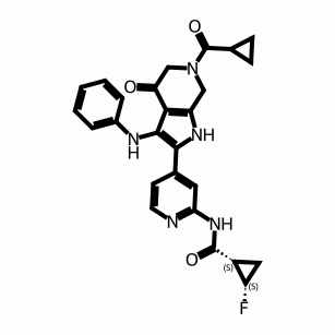 O=C1CN(C(=O)C2CC2)Cc2[nH]c(-c3ccnc(NC(=O)[C@@H]4C[C@@H]4F)c3)c(Nc3ccccc3)c21